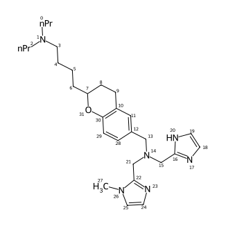 CCCN(CCC)CCCCC1CCc2cc(CN(Cc3ncc[nH]3)Cc3nccn3C)ccc2O1